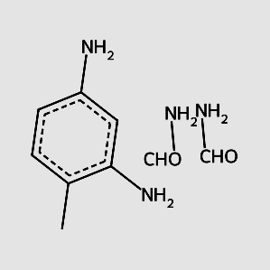 Cc1ccc(N)cc1N.NC=O.NC=O